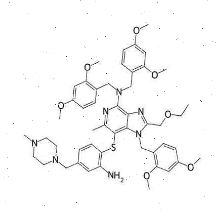 CCOCc1nc2c(N(Cc3ccc(OC)cc3OC)Cc3ccc(OC)cc3OC)nc(C)c(Sc3ccc(CN4CCN(C)CC4)cc3N)c2n1Cc1ccc(OC)cc1OC